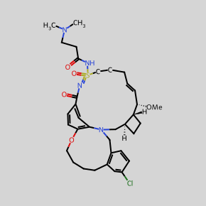 CO[C@H]1/C=C/CCCS(=O)(NC(=O)CCN(C)C)=NC(=O)c2ccc3c(c2)N(Cc2ccc(Cl)cc2CCCCO3)C[C@@H]2CC[C@H]21